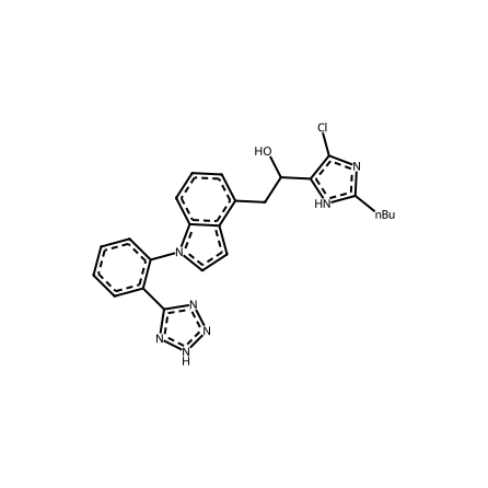 CCCCc1nc(Cl)c(C(O)Cc2cccc3c2ccn3-c2ccccc2-c2nn[nH]n2)[nH]1